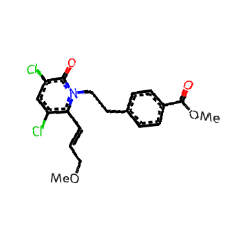 COC/C=C/c1c(Cl)cc(Cl)c(=O)n1CCc1ccc(C(=O)OC)cc1